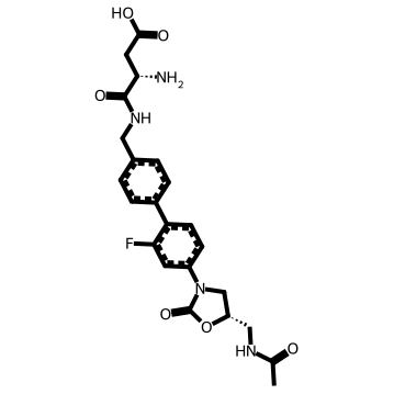 CC(=O)NC[C@H]1CN(c2ccc(-c3ccc(CNC(=O)[C@@H](N)CC(=O)O)cc3)c(F)c2)C(=O)O1